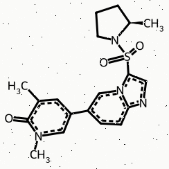 Cc1cc(-c2ccc3ncc(S(=O)(=O)N4CCC[C@H]4C)n3c2)cn(C)c1=O